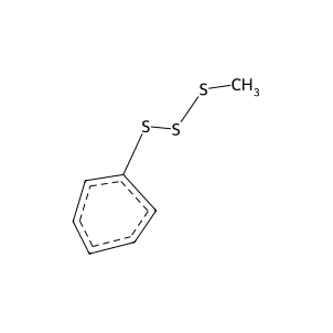 CSSSc1ccccc1